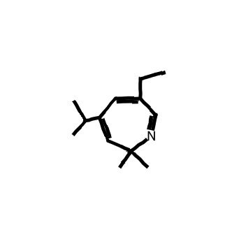 CCC1=CC(C(C)C)=CC(C)(C)N=C1